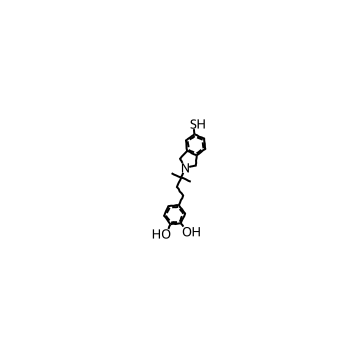 CC(C)(CCc1ccc(O)c(O)c1)N1Cc2ccc(S)cc2C1